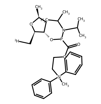 [2H]C[C@H]1O[C@@H](C)C[C@@H]1OP(C(=O)OCC[Si](C)(c1ccccc1)c1ccccc1)N(C(C)C)C(C)C